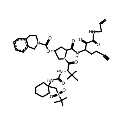 C#CCCC(NC(=O)C1C[C@@H](OC(=O)N2CCc3ccccc3C2)CN1C(=O)[C@@H](NC(=O)NC1(CS(=O)(=O)C(C)(C)C)CCCCC1)C(C)(C)C)C(=O)C(=O)NCC=C